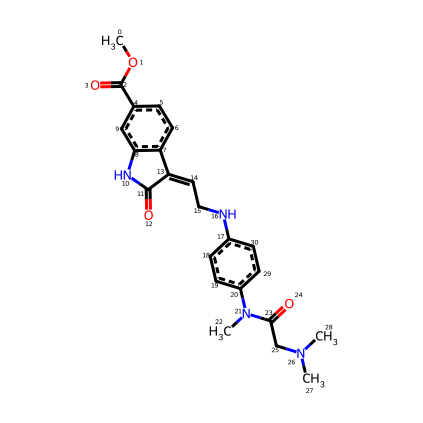 COC(=O)c1ccc2c(c1)NC(=O)/C2=C\CNc1ccc(N(C)C(=O)CN(C)C)cc1